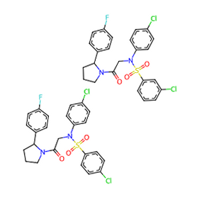 O=C(CN(c1ccc(Cl)cc1)S(=O)(=O)c1ccc(Cl)cc1)N1CCCC1c1ccc(F)cc1.O=C(CN(c1ccc(Cl)cc1)S(=O)(=O)c1cccc(Cl)c1)N1CCCC1c1ccc(F)cc1